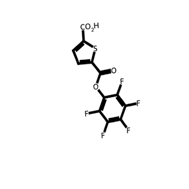 O=C(O)c1ccc(C(=O)Oc2c(F)c(F)c(F)c(F)c2F)s1